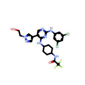 O=C(NC1CCC(Nc2nc(Nc3cc(Cl)cc(Cl)c3)ncc2-c2cnn(CCO)c2)CC1)C(F)(F)F